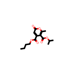 CCCCOC(=O)c1cc(=O)oc(C)c1C(=O)OC(C)C